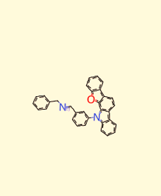 C(=N\Cc1ccccc1)/c1cccc(-n2c3ccccc3c3ccc4c5ccccc5oc4c32)c1